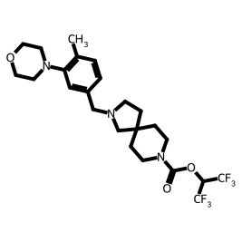 Cc1ccc(CN2CCC3(CCN(C(=O)OC(C(F)(F)F)C(F)(F)F)CC3)C2)cc1N1CCOCC1